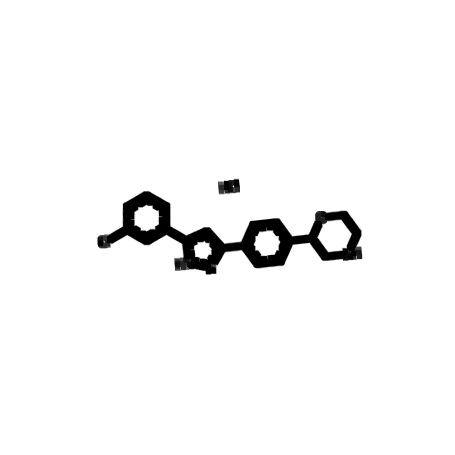 Cl.Clc1cccc(-c2cc(-c3ccc(C4CNCCO4)cc3)n[nH]2)c1